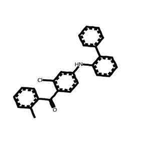 Cc1ccccc1C(=O)c1ccc(Nc2ccccc2-c2ccccc2)cc1Cl